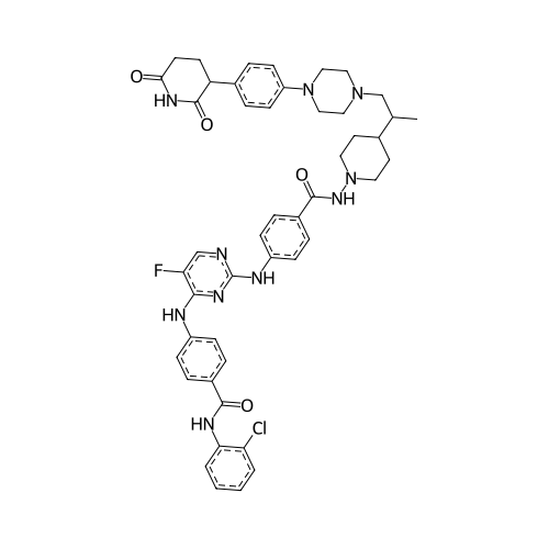 CC(CN1CCN(c2ccc(C3CCC(=O)NC3=O)cc2)CC1)C1CCN(NC(=O)c2ccc(Nc3ncc(F)c(Nc4ccc(C(=O)Nc5ccccc5Cl)cc4)n3)cc2)CC1